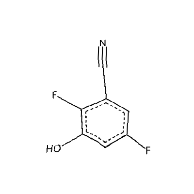 N#Cc1cc(F)cc(O)c1F